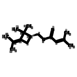 CC(C)=CC(=O)OC[C@@H]1CC(=C(C)C)C1(C)C